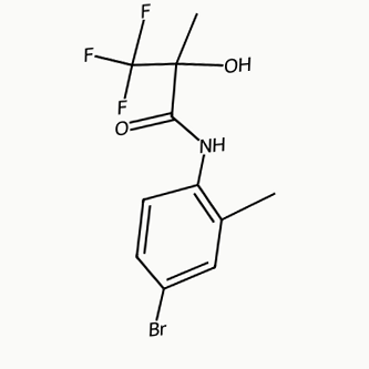 Cc1cc(Br)ccc1NC(=O)C(C)(O)C(F)(F)F